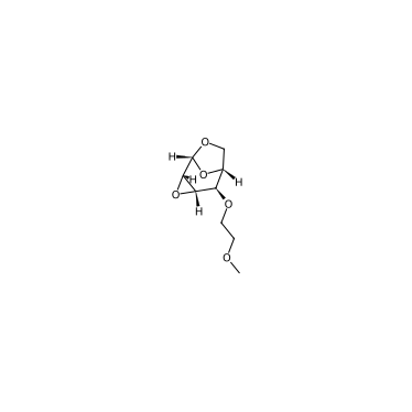 COCCO[C@H]1[C@@H]2O[C@@H]2[C@@H]2OC[C@H]1O2